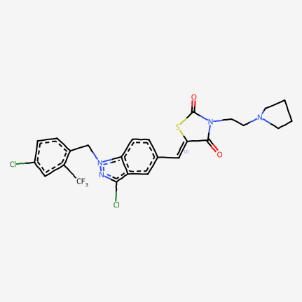 O=C1S/C(=C\c2ccc3c(c2)c(Cl)nn3Cc2ccc(Cl)cc2C(F)(F)F)C(=O)N1CCN1CCCC1